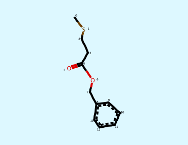 CSCCC(=O)OCc1ccccc1